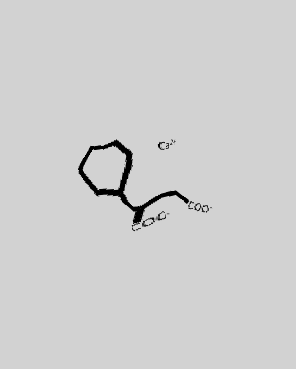 O=C([O-])CC(C(=O)[O-])C1CCCCC1.[Ca+2]